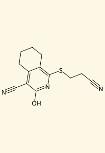 N#CCCSc1nc(O)c(C#N)c2c1CCCC2